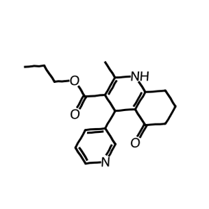 CCCOC(=O)C1=C(C)NC2=C(C(=O)CCC2)C1c1cccnc1